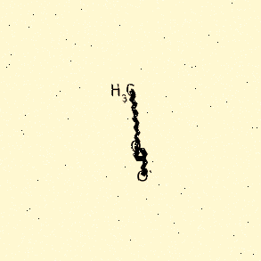 CCCCCCCCCCCCOc1ccc(CC[C]=O)cc1